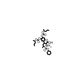 CCCC(C)OC(=O)Oc1ccc(C(CC(C)OC(=O)OC2CCCCC2)[C@H](N)C(=O)O)cc1OC(=O)OC(C)CCC